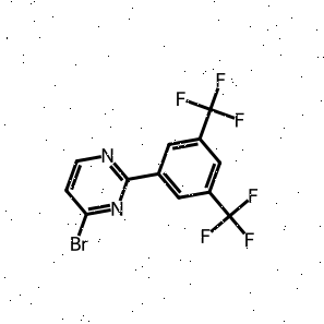 FC(F)(F)c1cc(-c2nccc(Br)n2)cc(C(F)(F)F)c1